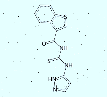 O=C(NC(=S)Nc1ccn[nH]1)c1csc2ccccc12